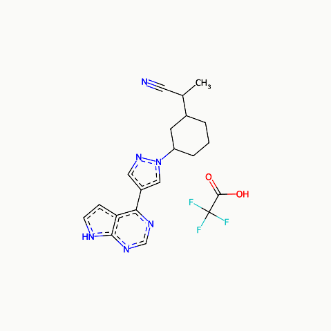 CC(C#N)C1CCCC(n2cc(-c3ncnc4[nH]ccc34)cn2)C1.O=C(O)C(F)(F)F